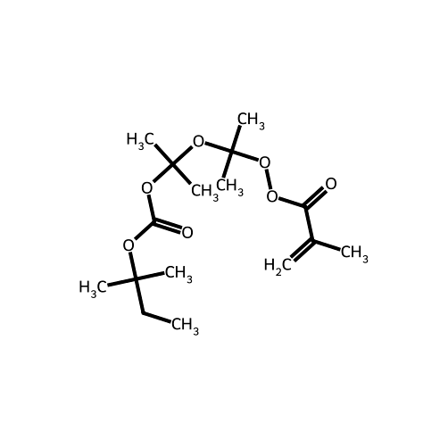 C=C(C)C(=O)OOC(C)(C)OC(C)(C)OC(=O)OC(C)(C)CC